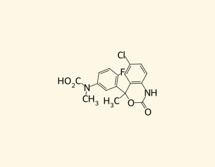 CN(C(=O)O)c1ccc(F)c(C2(C)OC(=O)Nc3ccc(Cl)cc32)c1